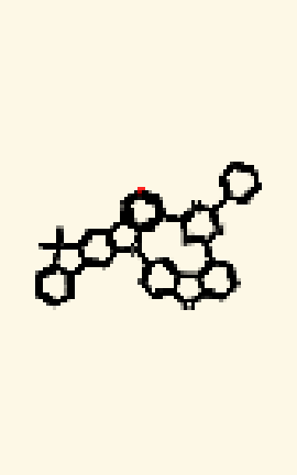 CC1(C)c2ccccc2-c2cc3c(cc21)c1ccccc1n3-c1ccc2oc3cccc(-c4nc(-c5ccccc5)nc(-c5ccccc5)n4)c3c2c1